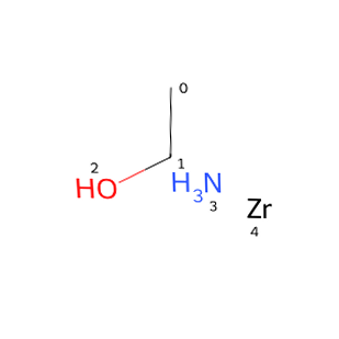 CCO.N.[Zr]